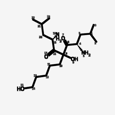 CC(C)C[C@H](N)C(=O)C(O)(CCCCCO)C(=O)[C@@H](N)CC(C)C